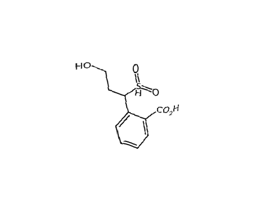 O=C(O)c1ccccc1C(CCO)[SH](=O)=O